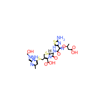 CC1=NC2=CN(CO)NN2C(SCC2=C(C(=O)O)N3C(=O)C(NC(=O)/C(=N/OC(C)CC(=O)O)c4csc(N)n4)[C@H]3SC2)=C1